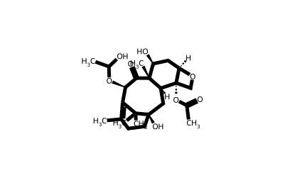 CC(=O)O[C@@]12CO[C@@H]1C[C@H](O)[C@@]1(C)C(=O)[C@H](OC(C)O)C3=C(C)CC[C@@](O)(C[C@H]21)C3(C)C